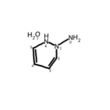 NN1C=CC=CN1.O